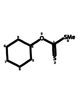 CSC(=S)OC1CCCCC1